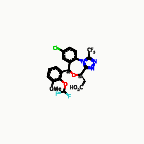 COc1cccc([C@@H]2O[C@@H](CC(=O)O)c3nnc(C(F)(F)F)n3-c3ccc(Cl)cc32)c1OC(F)F